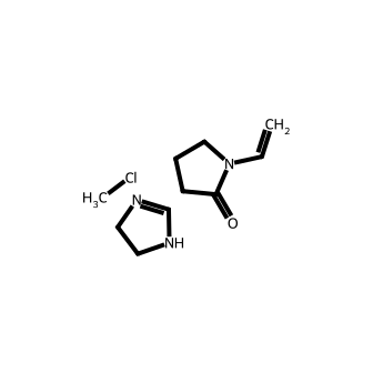 C1=NCCN1.C=CN1CCCC1=O.CCl